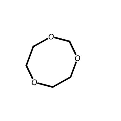 C1COCOCCO1